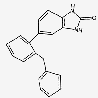 O=c1[nH]c2ccc(-c3ccccc3Cc3ccccc3)cc2[nH]1